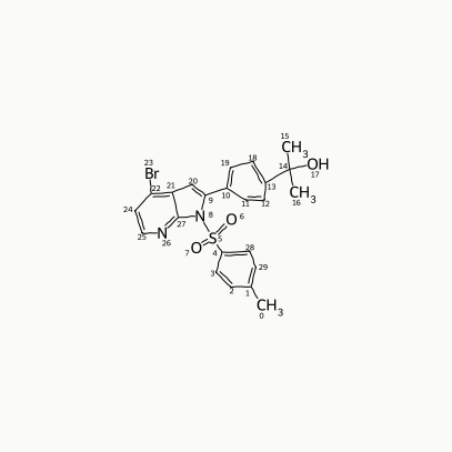 Cc1ccc(S(=O)(=O)n2c(-c3ccc(C(C)(C)O)cc3)cc3c(Br)ccnc32)cc1